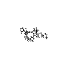 Cc1cccc(C)c1-c1cc2nc(n1)NS(=O)(=O)c1cccc(c1)C(C1CC3(CCN(C(=O)OC(C)(C)C)CC3)C1)C(CC1(C(F)(F)F)CC1)CO2